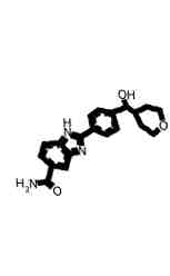 NC(=O)c1ccc2[nH]c(-c3ccc(C(O)C4CCOCC4)cc3)nc2c1